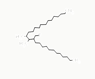 CCCCCCCCCCCCC[C@H](C)C(C)C(CF)CCCCCCCCCCCC